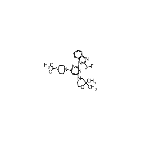 CC(=O)N1CCN(c2cc(N3CCOC(C)(C)C3)nc(-n3c(C(F)F)nc4ccccc43)n2)CC1